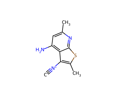 [C-]#[N+]c1c(C)sc2nc(C)cc(N)c12